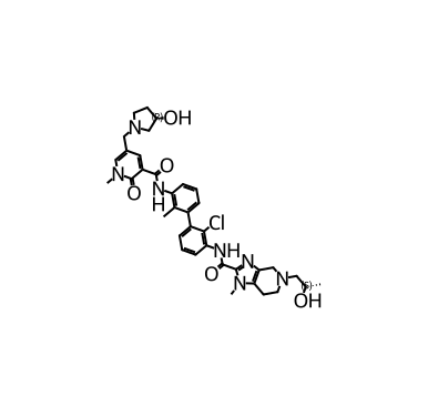 Cc1c(NC(=O)c2cc(CN3CC[C@@H](O)C3)cn(C)c2=O)cccc1-c1cccc(NC(=O)c2nc3c(n2C)CCN(C[C@H](C)O)C3)c1Cl